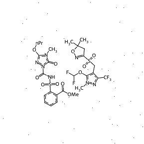 CCCOc1nn(C(=O)NS(=O)(=O)c2ccccc2C(=O)OC)c(=O)n1C.Cn1nc(C(F)(F)F)c(CS(=O)(=O)C2=NOC(C)(C)C2)c1OC(F)F